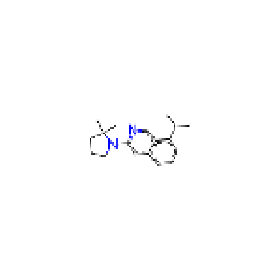 CC(C)c1cccc2cc(N3CCCC3(C)C)ncc12